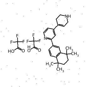 CC1(C)CCC(C)(C)c2cc(-c3cc(C4=CCNCC4)ccn3)ccc21.O=C(O)C(F)(F)F.O=C(O)C(F)(F)F